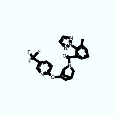 Cc1cccc(C(=O)N2CC3CC(Oc4ccc(C(F)(F)F)cn4)C2C3)c1-n1nccn1